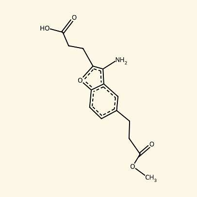 COC(=O)CCc1ccc2oc(CCC(=O)O)c(N)c2c1